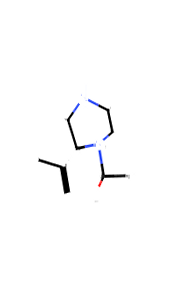 C=C(C)[C@@H]1CNCCN1C(O)C(C)C